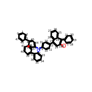 c1ccc(-c2ccc(N(c3ccc(-c4cc5oc6ccccc6c5c5ccccc45)cc3)c3ccccc3-c3ccccc3)cc2)cc1